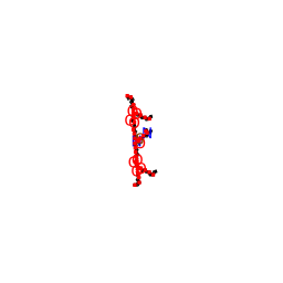 CC/C=C\CCCCOC(CCC(=O)OCCCCCCCN(CCCCCCCOC(=O)CCC(OCCCC/C=C\CC)OCCCC/C=C\CC)C(=O)SCCCN(CC)CC)OCCCC/C=C\CC